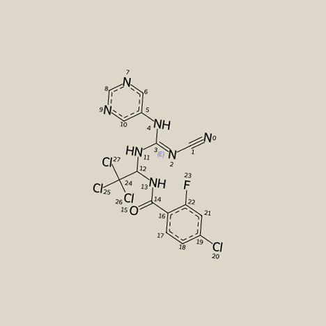 N#C/N=C(\Nc1cncnc1)NC(NC(=O)c1ccc(Cl)cc1F)C(Cl)(Cl)Cl